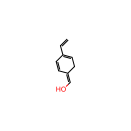 C=CC1=CCC(=CO)C=C1